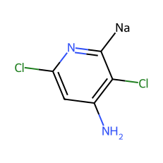 Nc1cc(Cl)n[c]([Na])c1Cl